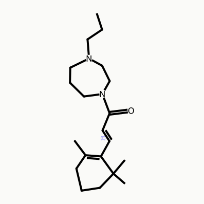 CCCN1CCCN(C(=O)/C=C/C2=C(C)CCCC2(C)C)CC1